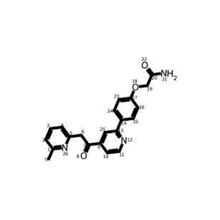 Cc1cccc(CC(=O)c2ccnc(-c3ccc(OCC(N)=O)cc3)c2)n1